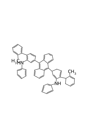 CC1=CC=CCC1C1=CCC(c2c3ccccc3c(-c3ccc(-c4ccccc4C)c(Nc4ccccc4)c3)c3ccccc23)C=C1Nc1ccccc1